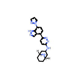 c1cnn(-c2ccc(-c3ccc(NC4C[C@H]5CCC[C@@H](C4)N5)nn3)c3cn[nH]c23)c1